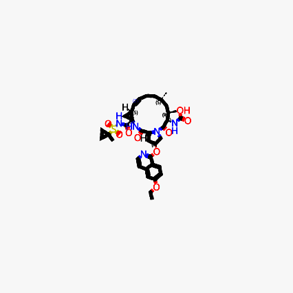 CCOc1ccc2c(O[C@@H]3C[C@H]4C(=O)N[C@]5(C(=O)NS(=O)(=O)C6(C)CC6)C[C@H]5/C=C\CC[C@H](C)C[C@@H](C)[C@H](NC(=O)O)C(=O)N4C3)nccc2c1